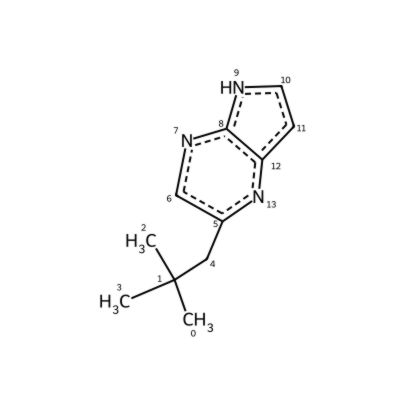 CC(C)(C)Cc1cnc2[nH]ccc2n1